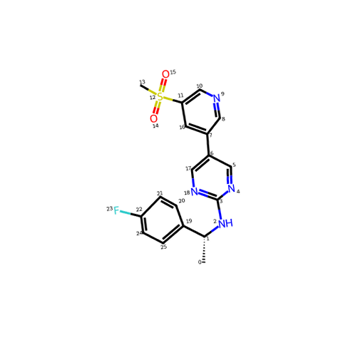 C[C@@H](Nc1ncc(-c2cncc(S(C)(=O)=O)c2)cn1)c1ccc(F)cc1